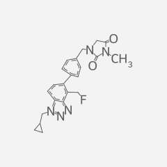 CN1C(=O)CN(Cc2ccc(-c3ccc4c(nnn4CC4CC4)c3CF)cc2)C1=O